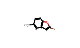 O=[N+]([O-])c1ccc2oc(Br)cc2c1